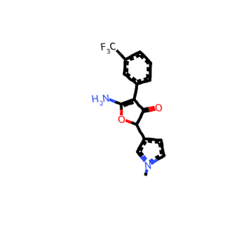 Cn1ccc(C2OC(N)=C(c3cccc(C(F)(F)F)c3)C2=O)c1